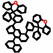 c1ccc(C2(c3cccc(-c4cccc5c(-c6cccc7ccccc67)c6cccc(-c7cccc(C8(c9ccccc9)c9ccccc9Oc9ccccc98)c7)c6cc45)c3)c3ccccc3Oc3ccccc32)cc1